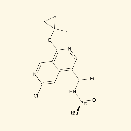 CCC(N[S@@+]([O-])C(C)(C)C)c1cnc(OC2(C)CC2)c2cnc(Cl)cc12